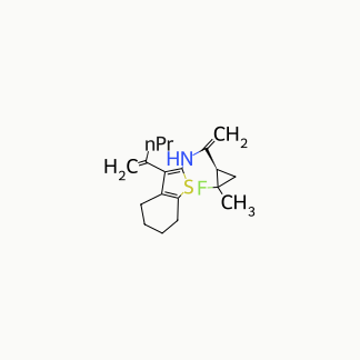 C=C(CCC)c1c(NC(=C)[C@H]2CC2(C)F)sc2c1CCCC2